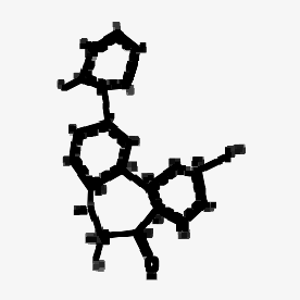 Cc1ncccc1-c1ccc2c(c1)-c1cc(F)cnc1C(=O)N(C)C2